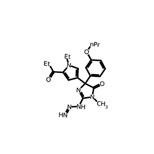 CCCOc1cccc(C2(c3cc(C(=O)CC)n(CC)c3)N=C(NN=N)N(C)C2=O)c1